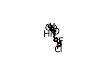 COc1cc(C(=O)NCCc2ccc(-c3cc(Cl)ccc3F)cc2)on1